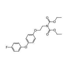 CCOC(=O)N(CCOc1ccc(Oc2ccc(F)cc2)cc1)C(=O)OCC